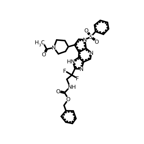 CC(=O)N1CCC(c2cn(S(=O)(=O)c3ccccc3)c3ncc4nc(C(F)(F)CNC(=O)OCc5ccccc5)[nH]c4c23)CC1